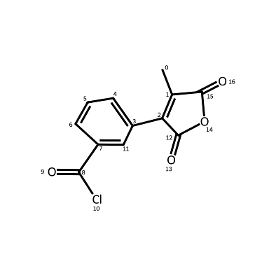 CC1=C(c2cccc(C(=O)Cl)c2)C(=O)OC1=O